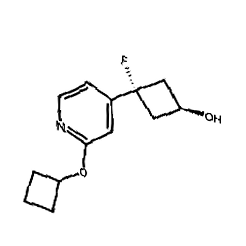 O[C@H]1C[C@@](F)(c2ccnc(OC3CCC3)c2)C1